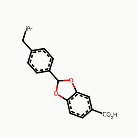 CC(C)Cc1ccc(C2Oc3ccc(C(=O)O)cc3O2)cc1